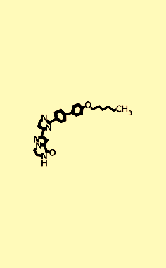 CCCCCCOc1ccc(-c2ccc(-c3nccc(-c4cc5n(n4)CCNC5=O)n3)cc2)cc1